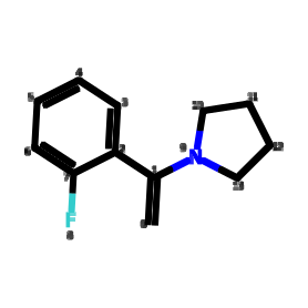 C=C(c1ccccc1F)N1CCCC1